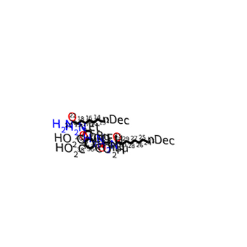 CCCCC(CC)C(N)=O.CCCCC(CC)C(N)=O.CCCCCCCCCCCCCCCCCC(N)=O.CCCCCCCCCCCCCCCCCC(N)=O.O=C(O)C1CC(C(=O)O)C(C(=O)O)CC1C(=O)O